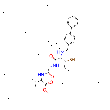 CCC(S)C(NCc1ccc(-c2ccccc2)cc1)C(=O)NCC(=O)NC(C(=O)OC)C(C)C